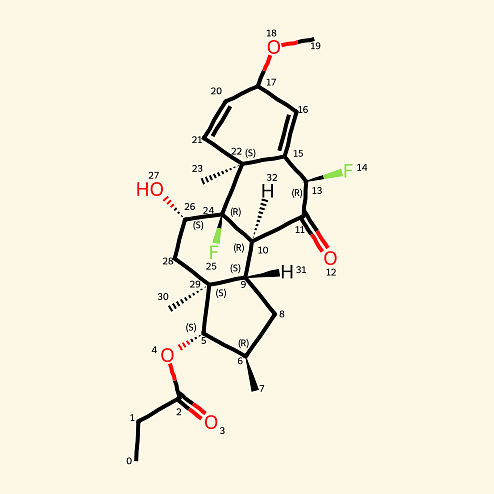 CCC(=O)O[C@H]1[C@H](C)C[C@H]2[C@@H]3C(=O)[C@H](F)C4=CC(OC)C=C[C@]4(C)[C@@]3(F)[C@@H](O)C[C@@]21C